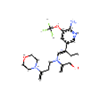 C=C(CO)N(/C=C(\CC)c1cnc(N)c(OC(F)(F)F)c1)CCC(=C)N1CCOCC1